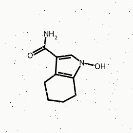 NC(=O)c1cn(O)c2c1CCCC2